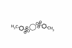 Cc1ccc(S(=O)(=O)O[C@H]2CCC[C@@H](OS(=O)(=O)c3ccc(C)cc3)CCC2)cc1